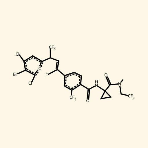 CN(CC(F)(F)F)C(=O)C1(NC(=O)c2ccc(/C(F)=C/C(c3cc(Cl)c(Br)c(Cl)c3)C(F)(F)F)cc2C(F)(F)F)CC1